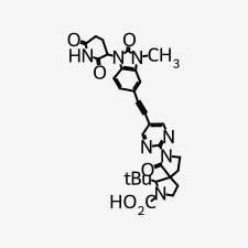 Cn1c(=O)n(C2CCC(=O)NC2=O)c2ccc(C#Cc3cnc(N4CCC5(CCN(C(=O)O)C5C(C)(C)C)C4=O)nc3)cc21